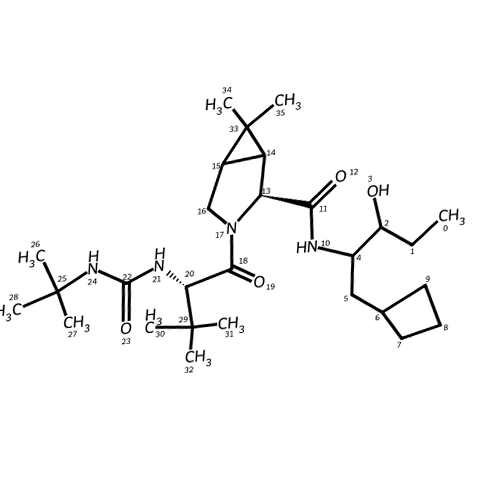 CCC(O)C(CC1CCC1)NC(=O)[C@@H]1C2C(CN1C(=O)[C@@H](NC(=O)NC(C)(C)C)C(C)(C)C)C2(C)C